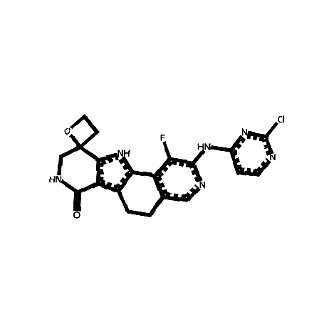 O=C1NCC2(CCO2)c2[nH]c3c(c21)CCc1cnc(Nc2ccnc(Cl)n2)c(F)c1-3